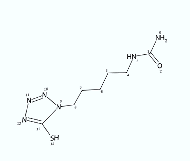 NC(=O)NCCCCCn1nnnc1S